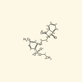 CCOS(=O)(=O)c1ccc(C)cc1OCCN1C(=O)c2ccccc2C1=O